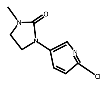 CN1CCN(c2ccc(Cl)nc2)C1=O